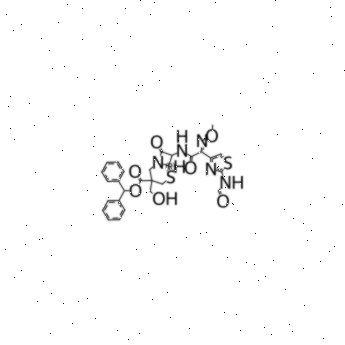 CON=C(C(=O)NC1C(=O)N2CC(CO)(C(=O)OC(c3ccccc3)c3ccccc3)CS[C@H]12)c1csc(NC=O)n1